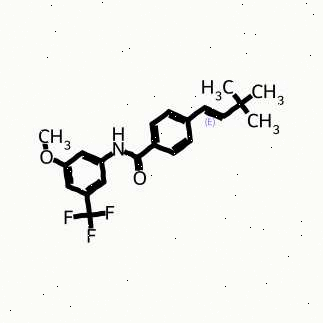 COc1cc(NC(=O)c2ccc(/C=C/C(C)(C)C)cc2)cc(C(F)(F)F)c1